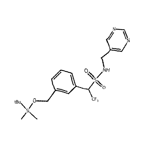 CC(C)(C)[Si](C)(C)OCc1cccc(C(C(F)(F)F)S(=O)(=O)NCc2cncnc2)c1